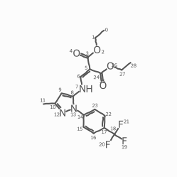 CCOC(=O)C(=CNc1cc(C)nn1-c1ccc(C(F)(F)F)cc1)C(=O)OCC